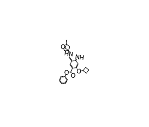 CC12CC(N/C=C3/C=C(C(=O)Oc4ccccc4)C(OC4CCC4)=CC3=N)(CO1)C2